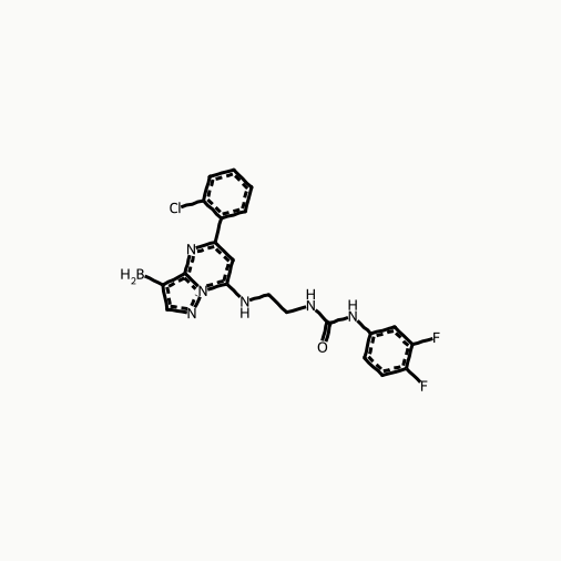 Bc1cnn2c(NCCNC(=O)Nc3ccc(F)c(F)c3)cc(-c3ccccc3Cl)nc12